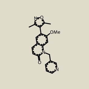 COc1cc2c(ccc(=O)n2Cc2cccnc2)cc1-c1c(C)noc1C